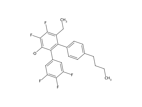 CCCCc1ccc(-c2c(CC)c(F)c(F)c([O])c2-c2cc(F)c(F)c(F)c2)cc1